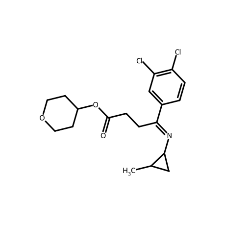 CC1CC1/N=C(\CCC(=O)OC1CCOCC1)c1ccc(Cl)c(Cl)c1